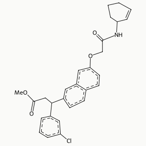 COC(=O)CC(c1cccc(Cl)c1)c1ccc2ccc(OCC(=O)NC3C=CCCC3)cc2c1